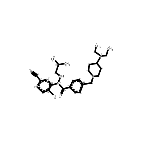 CCN(CC)C1CCN(Cc2ccc(C(=O)N(NCC(C)C)c3nc(C#N)ncc3Cl)cc2)CC1